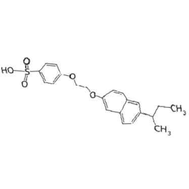 CCC(C)c1ccc2cc(OCCOc3ccc(S(=O)(=O)O)cc3)ccc2c1